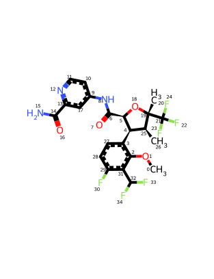 COc1c([C@H]2[C@@H](C(=O)Nc3ccnc(C(N)=O)c3)O[C@](C)(C(F)(F)F)[C@H]2C)ccc(F)c1C(F)F